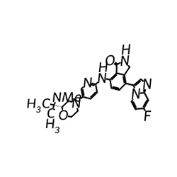 CNC(C)(C)[C@@H]1CN(c2ccc(Nc3ccc(-c4cnc5cc(F)ccn45)c4c3C(=O)NC4)nc2)CCO1